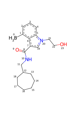 Bc1cccc2c1c(C(=O)NCC1CCCCCC1)cn2CCO